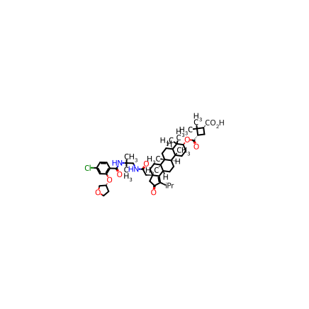 CC(C)C1=C2[C@H]3CC[C@@H]4[C@@]5(C)CC[C@H](OC(=O)[C@H]6C[C@@H](C(=O)O)C6(C)C)C(C)(C)[C@@H]5CC[C@@]4(C)[C@]3(C)CC[C@@]2(CC(=O)NCC(C)(C)NC(=O)c2ccc(Cl)cc2O[C@@H]2CCOC2)CC1=O